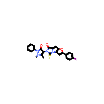 Cc1c(N2C(=O)c3cc4oc(-c5ccc(I)cc5)cc4n3C2=S)c(=O)n(-c2ccccc2)n1C